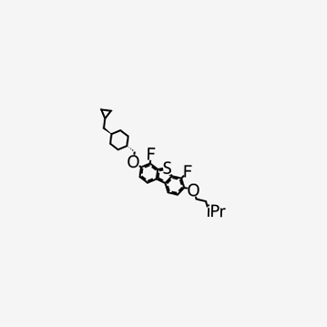 CC(C)CCOc1ccc2c(sc3c(F)c(OC[C@H]4CC[C@H](CC5CC5)CC4)ccc32)c1F